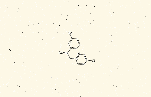 CC(=O)C(Cc1ccc(Cl)cn1)c1cccc(Br)c1